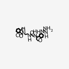 N=C(N)Nc1ccc2c(c1)[C@H](NCC(=O)NCCNC(=O)c1c(Cl)cccc1Cl)CCO2